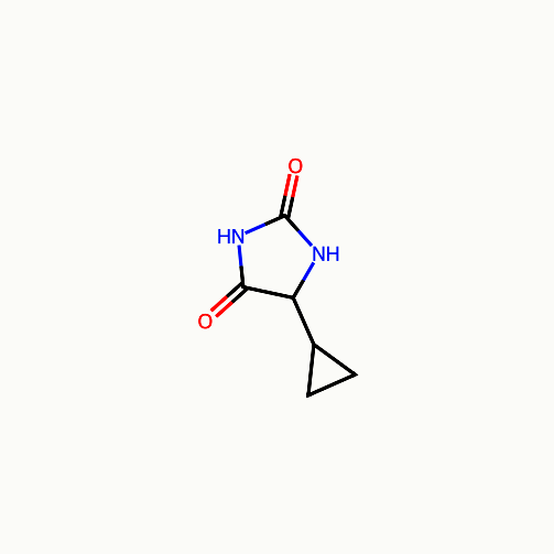 O=C1NC(=O)C(C2CC2)N1